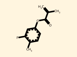 C=C(C)C(=O)Oc1ccc(C)c(F)c1